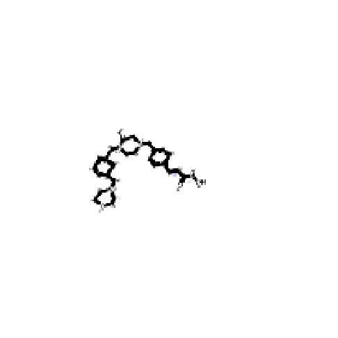 C[C@H]1CN(Cc2ccc(/C=C/C(=O)NO)cc2)CCN1Cc1cccc(CN2CCOCC2)c1